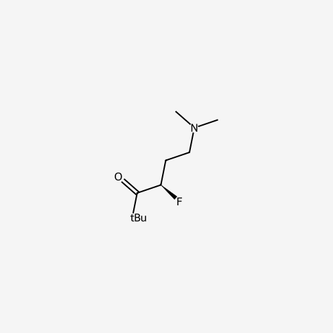 CN(C)CC[C@@H](F)C(=O)C(C)(C)C